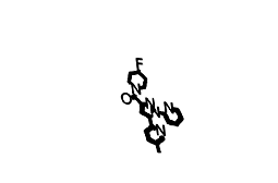 Cc1ccc(-c2cc(C(=O)N3CCC(F)CC3)nn2-c2ccccn2)nc1